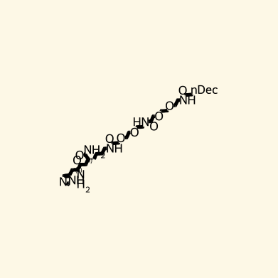 CCCCCCCCCCCC(=O)NCCOCCOCC(=O)NCCOCCOCC(=O)NCCCC[C@H](CC(=O)[C@@H](N)Cc1cnc[nH]1)C(N)=O